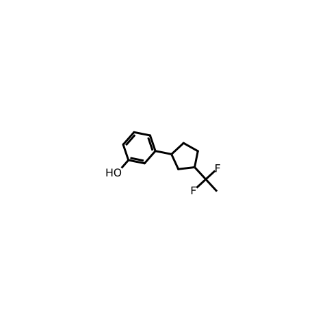 CC(F)(F)C1CCC(c2cccc(O)c2)C1